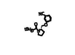 CC(C)(C)OC(=O)N1CCC[C@H]1COc1cccc(C#N)c1